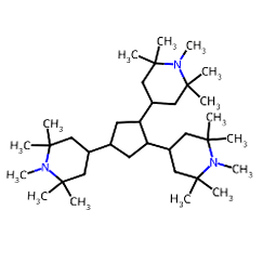 CN1C(C)(C)CC(C2CC(C3CC(C)(C)N(C)C(C)(C)C3)C(C3CC(C)(C)N(C)C(C)(C)C3)C2)CC1(C)C